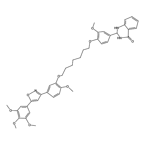 COc1cc(C2NC(=O)c3ccccc3N2)ccc1OCCCCCCCOc1cc(-c2cc(-c3cc(OC)c(OC)c(OC)c3)on2)ccc1OC